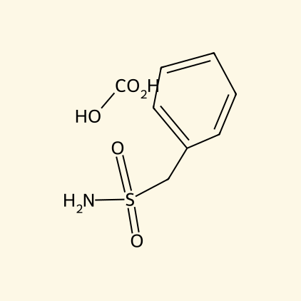 NS(=O)(=O)Cc1ccccc1.O=C(O)O